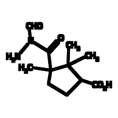 CC1(C(=O)N(N)C=O)CCC(C(=O)O)C1(C)C